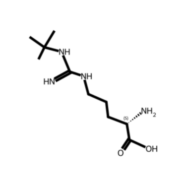 CC(C)(C)NC(=N)NCCC[C@H](N)C(=O)O